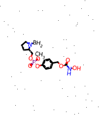 BN1CCCC1COP(=O)(OC)Oc1ccc(COC(=O)NO)cc1